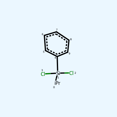 CC(C)[Si](Cl)(Cl)c1ccccc1